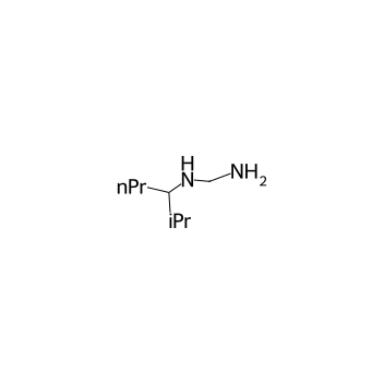 CCCC(NCN)C(C)C